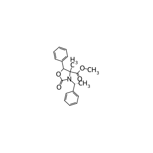 COC(=O)C1(C)C(c2ccccc2)OC(=O)N1[C@H](C)c1ccccc1